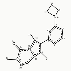 Cc1c(-c2cccc(N3CCC3)c2)c(C)n2c(=O)n(C)ncc12